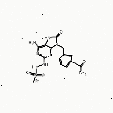 CCCS(=O)(=O)NNc1nc(N)c2[nH]c(=O)n(Cc3cccc(C(N)=O)c3)c2n1